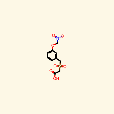 O=C(O)CS(=O)(=O)Cc1cccc(OC[N+](=O)[O-])c1